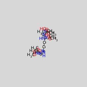 COC(=O)N[C@H](C(=O)N1CCC[C@H]1c1nc(-c2ccc(-c3ccc(-c4[nH]c([C@@H]5CCCN5C(=O)[C@H]([C@@H](C)OC)N(C)C(=O)O)nc4CC(OC)OC)cc3)cc2)c[nH]1)[C@@H](C)OC